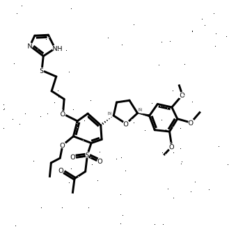 CCCOc1c(OCCCSc2ncc[nH]2)cc([C@@H]2CC[C@@H](c3cc(OC)c(OC)c(OC)c3)O2)cc1S(=O)(=O)CC(C)=O